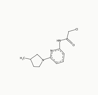 CC1CCN(c2cccc(NC(=O)CCl)n2)C1